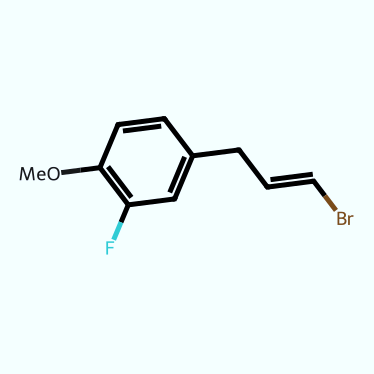 COc1ccc(C/C=C/Br)cc1F